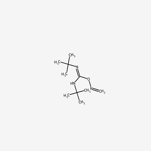 C=NO/C(=N/C(C)(C)C)NC(C)(C)C